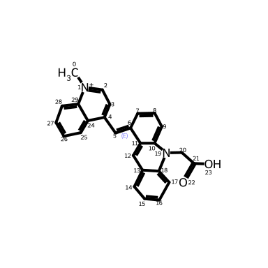 C[n+]1ccc(/C=c2\cccc3c2=Cc2ccccc2N3CC(=O)O)c2ccccc21